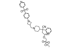 CCC[C@@H](CC(C#N)(c1ccccc1)C1CCN(CC2CN(c3ccc(S(=O)(=O)c4ccncc4)cc3)C2)CC1)OCS(C)(=O)=O